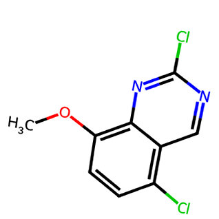 COc1ccc(Cl)c2cnc(Cl)nc12